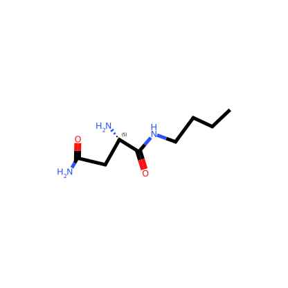 CCCCNC(=O)[C@@H](N)CC(N)=O